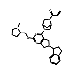 C=CC(=O)N1CC2CC1CN2c1nc(OC[C@@H]2CCCN2C)nc2c1CN(C1CCc3ccccc31)C2